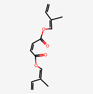 C=CC(C)=COC(=O)/C=C\C(=O)OC=C(C)C=C